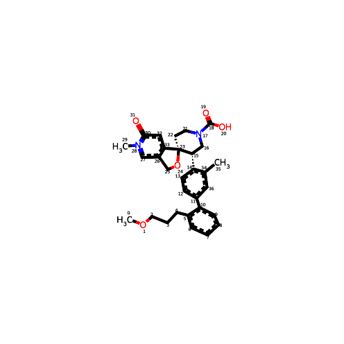 COCCCc1ccccc1-c1ccc([C@H]2CN(C(=O)O)CC[C@@]23OCc2cn(C)c(=O)cc23)c(C)c1